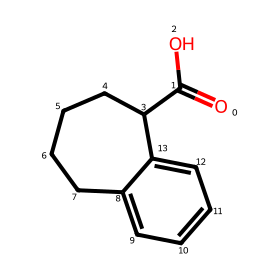 O=C(O)C1CCCCc2ccccc21